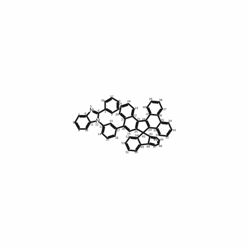 c1ccc(-c2nc3ccccc3n2-c2cccc(-c3cc4c(c5ccccc35)-c3c(c5ccccc5c5ccccc35)C43c4ccccc4-c4ccccc43)c2)cc1